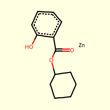 O=C(OC1CCCCC1)c1ccccc1O.[Zn]